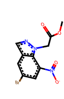 COC(=O)Cn1ncc2cc(Br)cc([N+](=O)[O-])c21